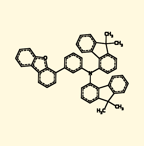 CC1(C)c2ccccc2-c2c(N(c3cccc(-c4cccc5c4oc4ccccc45)c3)c3cccc4c3-c3ccccc3C4(C)C)cccc21